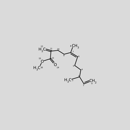 C=CC(C)CCC=C(C)CCC(=C)C(=O)OC